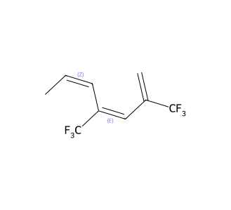 C=C(/C=C(\C=C/C)C(F)(F)F)C(F)(F)F